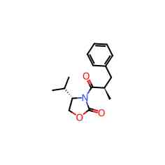 CC(C)[C@H]1COC(=O)N1C(=O)[C@H](C)Cc1ccccc1